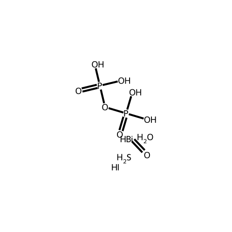 I.O.O=P(O)(O)OP(=O)(O)O.S.[O]=[BiH]